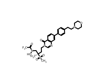 C[C@@](CCn1cnc2cc(-c3ccc(CCN4CCOCC4)cc3)ccc2c1=O)(CN(O)C(=O)C(F)(F)F)S(C)(=O)=O